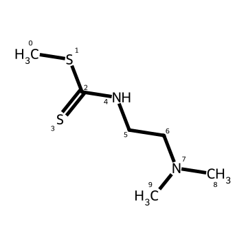 CSC(=S)NCCN(C)C